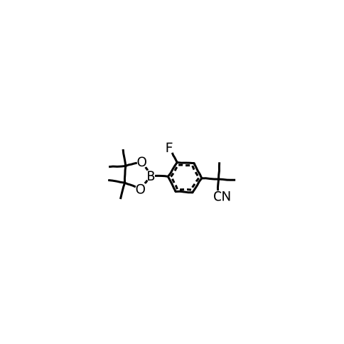 CC(C)(C#N)c1ccc(B2OC(C)(C)C(C)(C)O2)c(F)c1